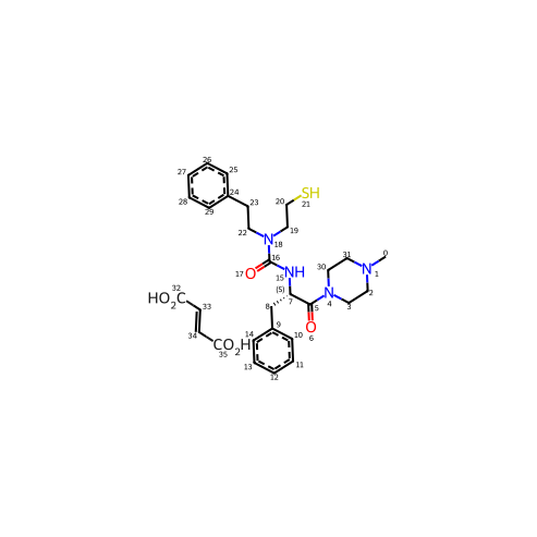 CN1CCN(C(=O)[C@H](Cc2ccccc2)NC(=O)N(CCS)CCc2ccccc2)CC1.O=C(O)C=CC(=O)O